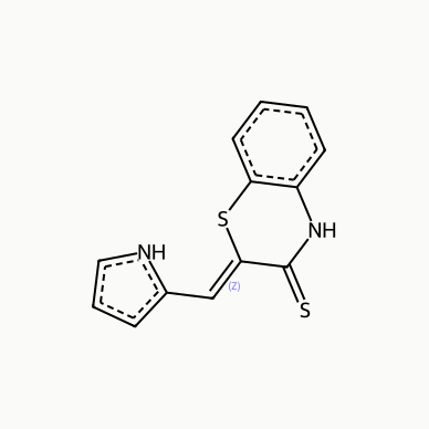 S=C1Nc2ccccc2S/C1=C\c1ccc[nH]1